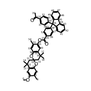 COc1cc2c(cc1C)OC1(CC2(C)C)CC(C)(C)c2cc(OC(=O)c3ccc(C4(c5ccc(C(C)=O)cc5)c5ccccc5-c5ccccc54)cc3)c(C)cc2O1